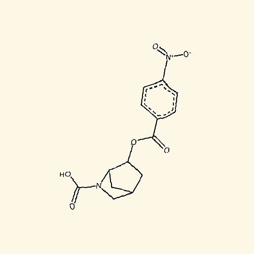 O=C(OC1CC2CC1N(C(=O)O)C2)c1ccc([N+](=O)[O-])cc1